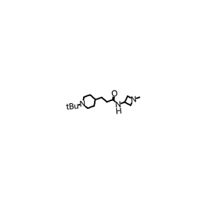 CN1CC(NC(=O)CCC2CCN(C(C)(C)C)CC2)C1